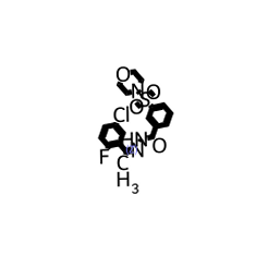 C/C(=N/NC(=O)c1cccc(S(=O)(=O)N2CCOCC2)c1)c1cc(Cl)ccc1F